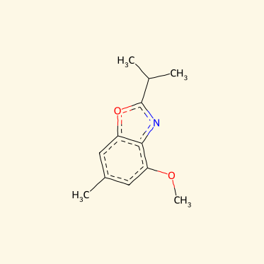 COc1cc(C)cc2oc(C(C)C)nc12